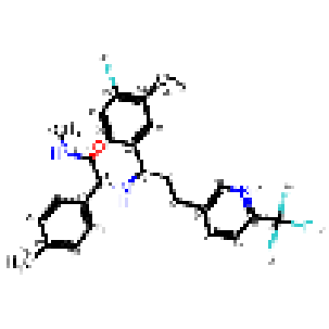 CNC(=O)[C@H](N[C@H](CCc1ccc(C(F)(F)F)nc1)c1ccc(F)c(C)c1)c1ccc(C)cc1